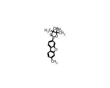 Cc1ccc2c(c1)oc1cc(B3OC(C)(C)C(C)(C)O3)ccc12